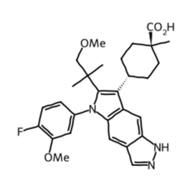 COCC(C)(C)c1c([C@H]2CC[C@](C)(C(=O)O)CC2)c2cc3[nH]ncc3cc2n1-c1ccc(F)c(OC)c1